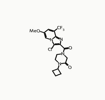 COc1cc(C(F)(F)F)c2nc(C(=O)N3CCN(C4CCC4)C(=O)C3)c(Cl)n2c1